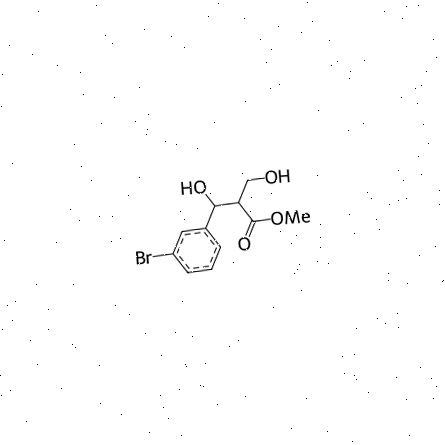 COC(=O)C(CO)C(O)c1cccc(Br)c1